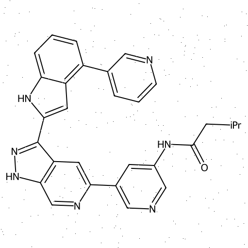 CC(C)CC(=O)Nc1cncc(-c2cc3c(-c4cc5c(-c6cccnc6)cccc5[nH]4)n[nH]c3cn2)c1